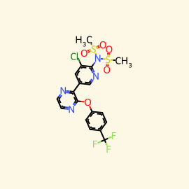 CS(=O)(=O)N(c1ncc(-c2nccnc2Oc2ccc(C(F)(F)F)cc2)cc1Cl)S(C)(=O)=O